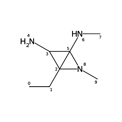 CCC12C(N)C1(NC)N2C